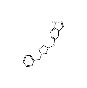 c1ccc(CN2CCC(Oc3cnc4[nH]ccc4c3)C2)cc1